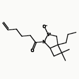 C=CCCCC(=O)N1C2CC(C)(C)C2(CCC)C[S+]1[O-]